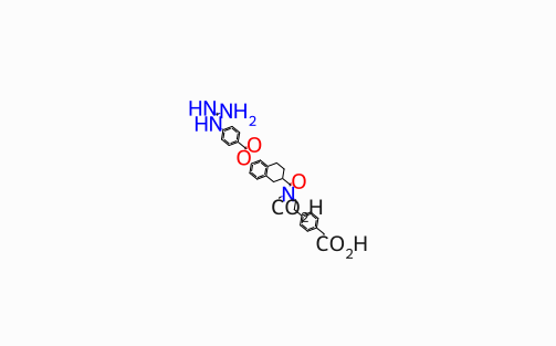 N=C(N)Nc1ccc(C(=O)Oc2ccc3c(c2)CCC(C(=O)N(CCc2ccc(CC(=O)O)cc2)CC(=O)O)C3)cc1